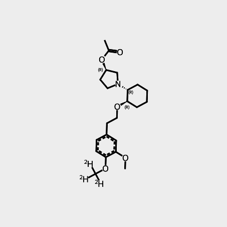 [2H]C([2H])([2H])Oc1ccc(CCO[C@@H]2CCCC[C@H]2N2CC[C@@H](OC(C)=O)C2)cc1OC